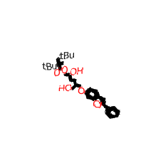 CC(C)(C)CC(C)(C(=O)OCC(O)CCC(CO)COc1ccc2cc(-c3ccccc3)oc2c1)C(C)(C)C